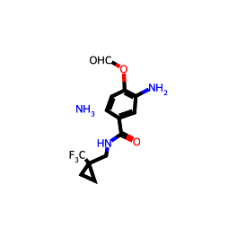 N.Nc1cc(C(=O)NCC2(C(F)(F)F)CC2)ccc1OC=O